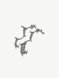 N=NC=NN.N=NC=NN